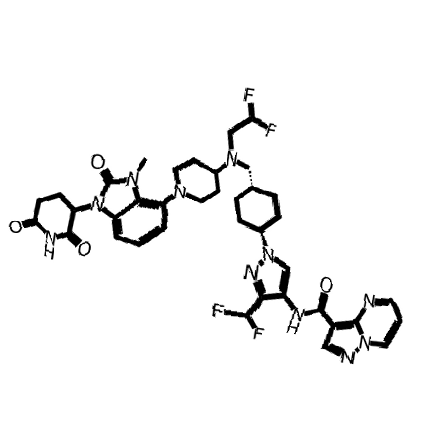 Cn1c(=O)n(C2CCC(=O)NC2=O)c2cccc(N3CCC(N(CC(F)F)C[C@H]4CC[C@H](n5cc(NC(=O)c6cnn7cccnc67)c(C(F)F)n5)CC4)CC3)c21